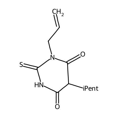 C=CCN1C(=O)C(C(C)CCC)C(=O)NC1=S